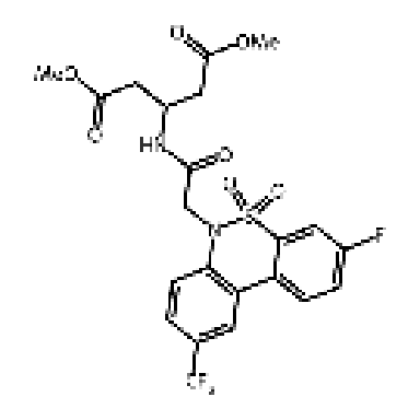 COC(=O)CC(CC(=O)OC)NC(=O)CN1c2ccc(C(F)(F)F)cc2-c2ccc(F)cc2S1(=O)=O